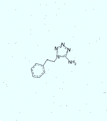 Nc1nnnn1CCc1ccccc1